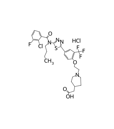 CCCCN(C(=O)c1cccc(F)c1Cl)c1nnc(-c2ccc(OCCN3CCC(CC(=O)O)CC3)c(C(F)(F)F)c2)s1.Cl